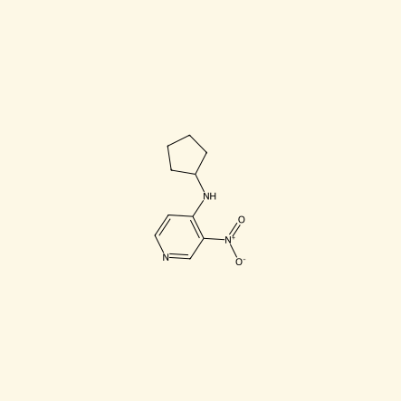 O=[N+]([O-])c1cnccc1NC1CCCC1